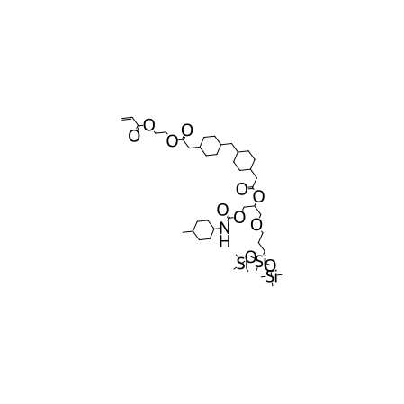 C=CC(=O)OCCOC(=O)CC1CCC(CC2CCC(CC(=O)OC(COCCC[Si](C)(O[Si](C)(C)C)O[Si](C)(C)C)COC(=O)NC3CCC(C)CC3)CC2)CC1